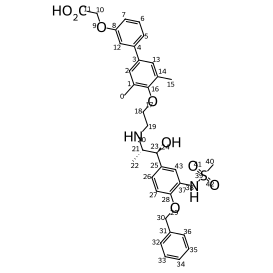 Cc1cc(-c2cccc(OCC(=O)O)c2)cc(C)c1OCCN[C@@H](C)[C@@H](O)c1ccc(OCc2ccccc2)c(NS(C)(=O)=O)c1